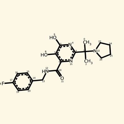 CC(C)(c1nc(O)c(O)c(C(=O)NCc2ccc(F)cc2)n1)N1CCCC1